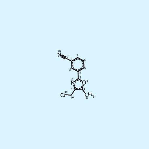 Cc1oc(-c2cccc(C#N)c2)nc1CCl